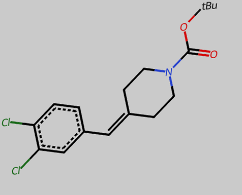 CC(C)(C)OC(=O)N1CCC(=Cc2ccc(Cl)c(Cl)c2)CC1